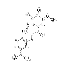 CO[C@@H]1OC(C(O)OCc2cccc(N(C)C)c2)[C@H](OC)[C@H](O)[C@@H]1O